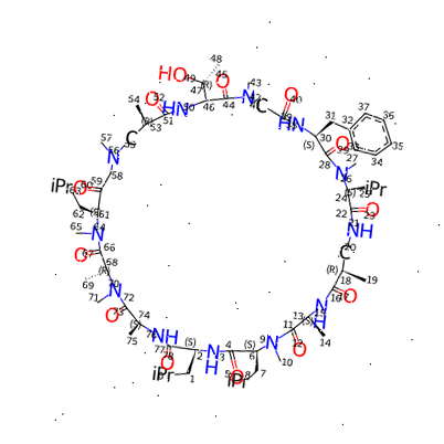 CC(C)C[C@@H]1NC(=O)[C@H](CC(C)C)N(C)C(=O)[C@H](C)NC(=O)[C@H](C)CNC(=O)[C@H](C(C)C)N(C)C(=O)[C@H](Cc2ccccc2)NC(=O)CN(C)C(=O)C([C@@H](C)O)NC(=O)[C@H](C)CN(C)CC(=O)[C@H](CC(C)C)N(C)C(=O)[C@@H](C)N(C)C(=O)[C@H](C)NC1=O